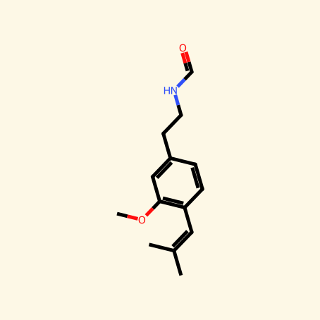 COc1cc(CCNC=O)ccc1C=C(C)C